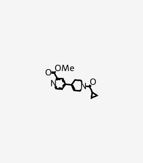 COC(=O)c1cc(C2=CCN(C(=O)C3CC3)CC2)ccn1